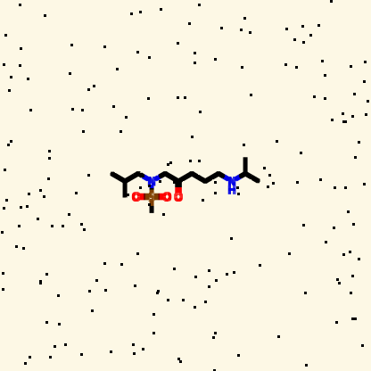 CC(C)CN(CC(=O)CCCNC(C)C)S(C)(=O)=O